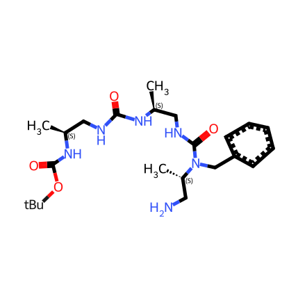 C[C@@H](CNC(=O)N(Cc1ccccc1)[C@@H](C)CN)NC(=O)NC[C@H](C)NC(=O)OC(C)(C)C